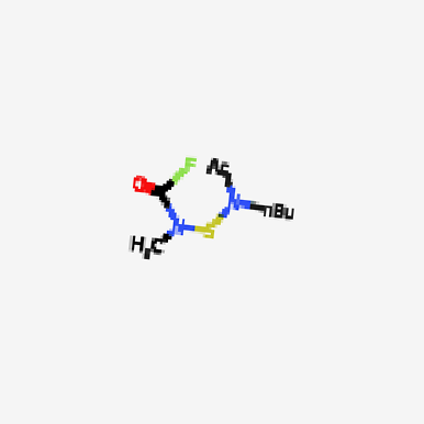 CCCCN(SN(C)C(=O)F)C(C)=O